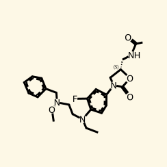 CCN(CCN(Cc1ccccc1)OC)c1ccc(N2C[C@H](CNC(C)=O)OC2=O)cc1F